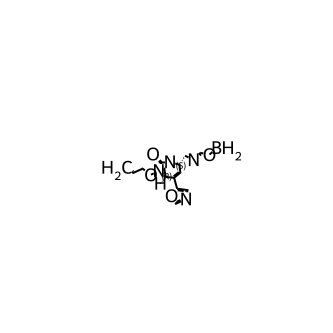 BOC=NC[C@@H]1C=C(c2cnco2)[C@@H]2CN1C(=O)N2OCC=C